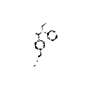 CCN(C(=O)c1ccc(/C=N/OC)cc1)c1cccnc1